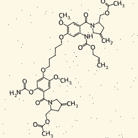 C=CCOC(=O)Nc1cc(OCCCCCOc2cc(OC(N)=O)c(C(=O)N3CC(=C)CC3COC(C)=O)cc2OC)c(OC)cc1C(=O)N1CC(=C)CC1COC(C)=O